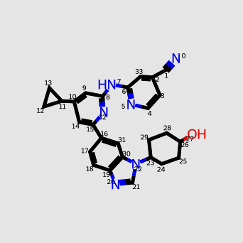 N#Cc1ccnc(Nc2cc(C3CC3)cc(-c3ccc4ncn(C5CCC(O)CC5)c4c3)n2)c1